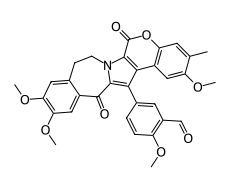 COc1cc2c(cc1C)oc(=O)c1c2c(-c2ccc(OC)c(C=O)c2)c2n1CCc1cc(OC)c(OC)cc1C2=O